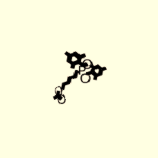 CC(=O)OCCCCCCP(C(=O)c1c(C)cc(C)cc1C)C(=O)c1c(C)cc(C)cc1C